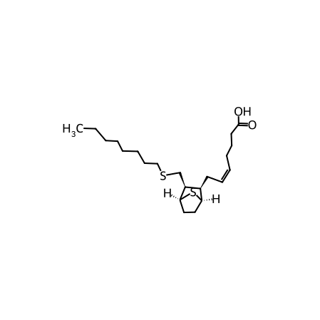 CCCCCCCCSC[C@H]1[C@@H](C/C=C\CCCC(=O)O)[C@H]2CC[C@@H]1S2